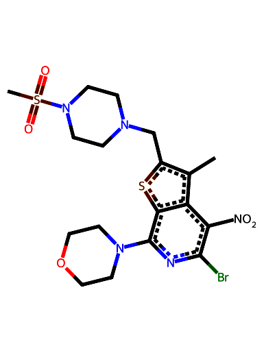 Cc1c(CN2CCN(S(C)(=O)=O)CC2)sc2c(N3CCOCC3)nc(Br)c([N+](=O)[O-])c12